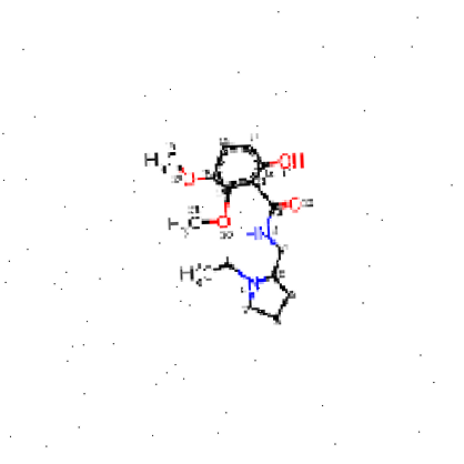 CCN1CCCC1CNC(=O)c1c(O)ccc(OC)c1OC